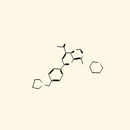 NC(=O)c1cc(-c2ccc(CN3CC[C@H](F)C3)cc2)nc2c(N[C@H]3CCCNC3)ncnc12